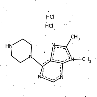 Cc1nc2c(N3CCNCC3)ncnc2n1C.Cl.Cl